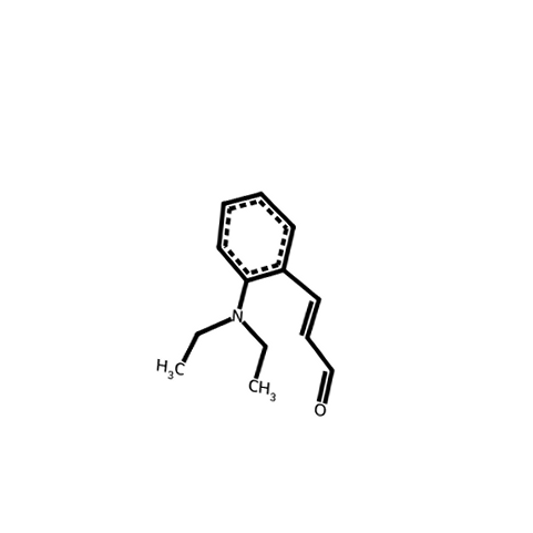 CCN(CC)c1ccccc1C=CC=O